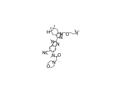 C[C@@H](C(=O)N(C)c1cc2nc(-c3nn(COCC[Si](C)(C)C)c4c3C[C@@H]3C[C@]3(C)C4)n(C)c2cc1C#N)N1CCOCC1